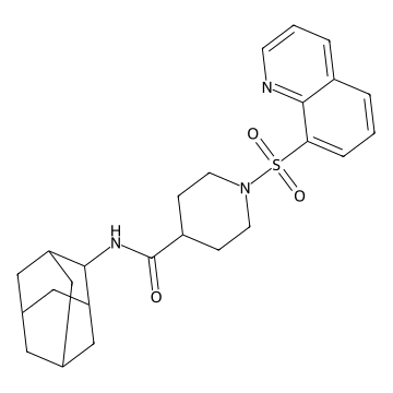 O=C(NC1C2CC3CC(C2)CC1C3)C1CCN(S(=O)(=O)c2cccc3cccnc23)CC1